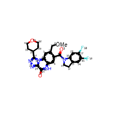 COCc1cc2c(cc1C(=O)N1CCc3cc(F)c(F)cc31)[nH]c(=O)c1nnc(C3CCOCC3)n12